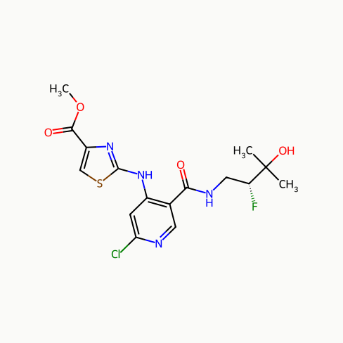 COC(=O)c1csc(Nc2cc(Cl)ncc2C(=O)NC[C@@H](F)C(C)(C)O)n1